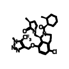 C[C@H]1CCN(C[C@@H]2c3c(OCc4nnn(C)c4C(F)(F)F)ccc(Cl)c3CCN2C(=O)[C@@H]2CCCC[C@@H]2C)C1=O